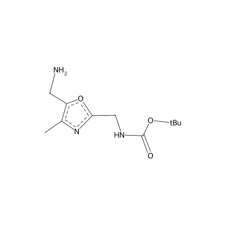 Cc1nc(CNC(=O)OC(C)(C)C)oc1CN